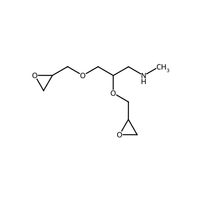 CNCC(COCC1CO1)OCC1CO1